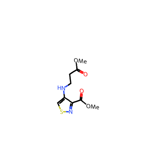 COC(=O)CCNc1csnc1C(=O)OC